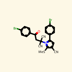 CSc1c(C#N)cc(-c2ccc(Br)cc2)n1C(C#N)(C#N)CC(=O)c1ccc(Br)cc1